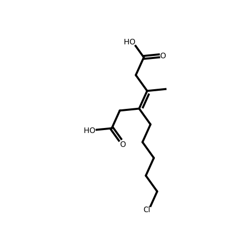 C/C(CC(=O)O)=C(\CCCCCCl)CC(=O)O